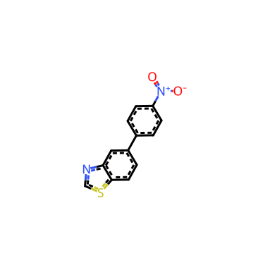 O=[N+]([O-])c1ccc(-c2ccc3scnc3c2)cc1